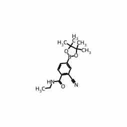 CCNC(=O)c1ccc(B2OC(C)(C)C(C)(C)O2)cc1C#N